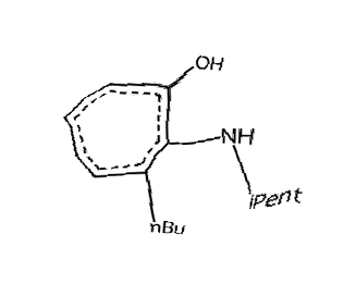 CCCCc1cccc(O)c1NC(C)CCC